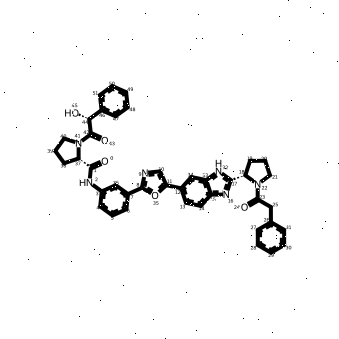 O=C(Nc1cccc(-c2ncc(-c3ccc4nc([C@@H]5CCCN5C(=O)Cc5ccccc5)[nH]c4c3)o2)c1)[C@@H]1CCCN1C(=O)[C@H](O)c1ccccc1